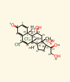 C[C@]12C=CC(=O)C=C1C(Cl)=C[C@H]1[C@@H]3CC[C@](O)(C(=O)CO)[C@@]3(C)CC(O)[C@@]12Cl